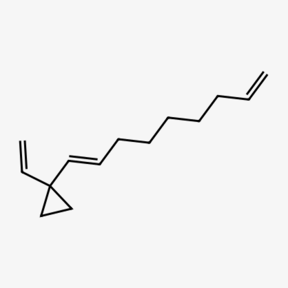 C=CCCCCCC=CC1(C=C)CC1